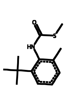 CSC(=O)Nc1c(C)cccc1C(C)(C)C